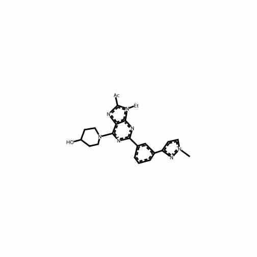 CCn1c(C(C)=O)nc2c(N3CCC(O)CC3)nc(-c3cccc(-c4ccn(C)n4)c3)nc21